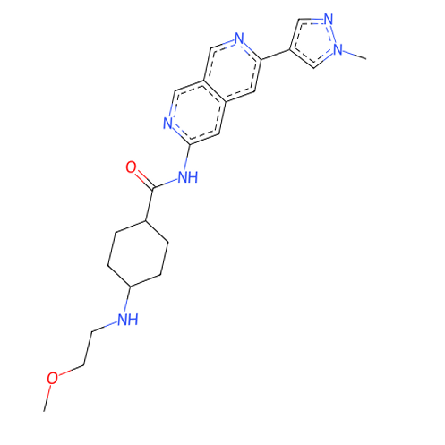 COCCNC1CCC(C(=O)Nc2cc3cc(-c4cnn(C)c4)ncc3cn2)CC1